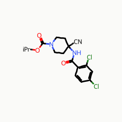 CC(C)OC(=O)N1CCC(C#N)(NC(=O)c2ccc(Cl)cc2Cl)CC1